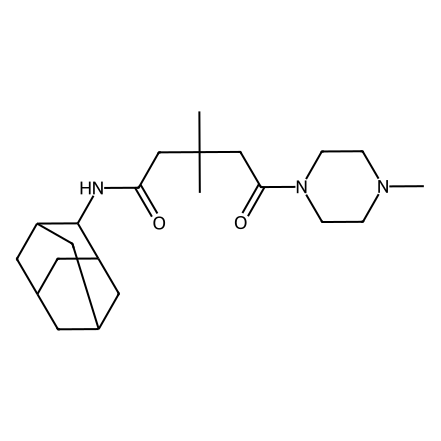 CN1CCN(C(=O)CC(C)(C)CC(=O)NC2C3CC4CC(C3)CC2C4)CC1